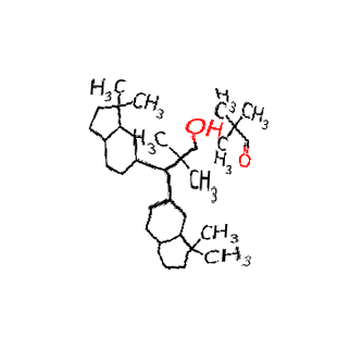 CC(C)(C)C=O.CC1(C)CCC2CCC(C(C3CCC4CCC(C)(C)C4C3)C(C)(C)CO)CC21